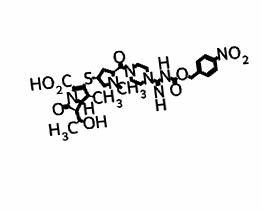 C[C@@H](O)[C@H]1C(=O)N2C(C(=O)O)=C(S[C@H]3C[C@@H](C(=O)N4CCN(C(=N)NC(=O)OCc5ccc([N+](=O)[O-])cc5)CC4)N(C)C3)[C@H](C)[C@H]12